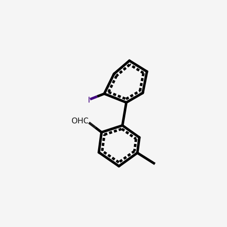 Cc1ccc(C=O)c(-c2ccccc2I)c1